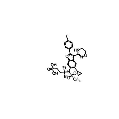 CCC(CC)(CCP(=O)(O)O)N(c1cc2oc(-c3ccc(F)cc3)c(C3=NOCCN3)c2cc1C1CC1)S(C)(=O)=O